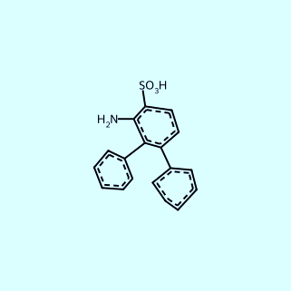 Nc1c(S(=O)(=O)O)ccc(-c2ccccc2)c1-c1ccccc1